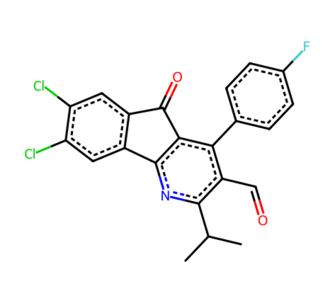 CC(C)c1nc2c(c(-c3ccc(F)cc3)c1C=O)C(=O)c1cc(Cl)c(Cl)cc1-2